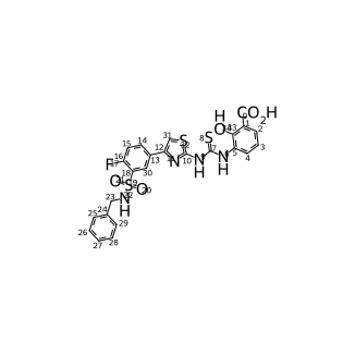 O=C(O)c1cccc(NC(=S)Nc2nc(-c3ccc(F)c(S(=O)(=O)NCc4ccccc4)c3)cs2)c1O